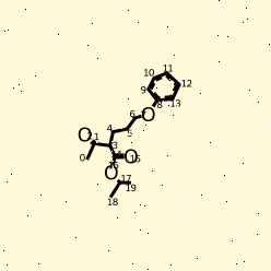 CC(=O)C(CCCOc1ccccc1)C(=O)OC(C)C